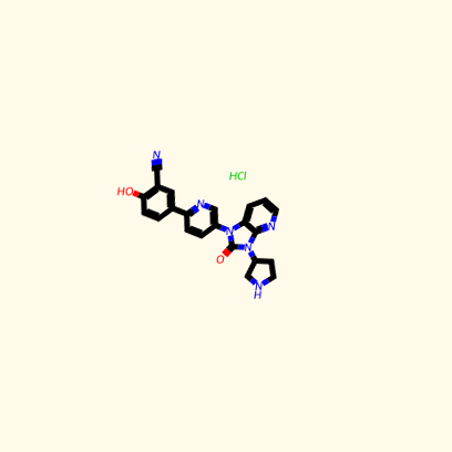 Cl.N#Cc1cc(-c2ccc(-n3c(=O)n(C4CCNC4)c4ncccc43)cn2)ccc1O